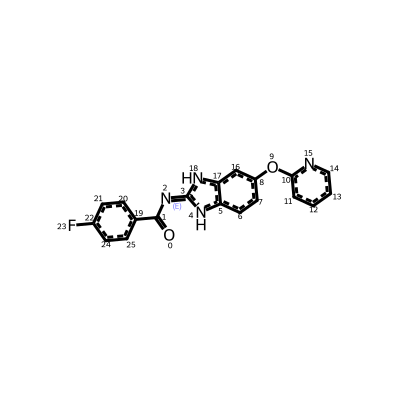 O=C(/N=c1\[nH]c2ccc(Oc3ccccn3)cc2[nH]1)c1ccc(F)cc1